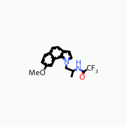 COc1ccc2ccc3ccn(CC(C)NC(=O)C(F)(F)F)c3c2c1